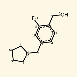 OCc1ccc(CN2CCCC2)cc1F